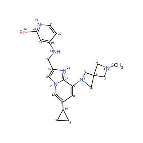 CN1CC2(C1)CN(c1cc(C3CC3)cn3cc(CNc4ccnc(Br)c4)nc13)C2